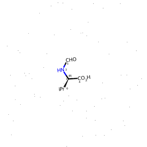 CC(C)[C@@H](NC=O)C(=O)O